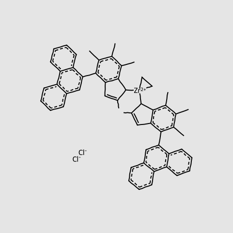 CC1=Cc2c(-c3cc4ccccc4c4ccccc34)c(C)c(C)c(C)c2[CH]1[Zr+2]1([CH]2C(C)=Cc3c(-c4cc5ccccc5c5ccccc45)c(C)c(C)c(C)c32)[CH2][CH2]1.[Cl-].[Cl-]